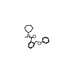 CN(C(=O)c1ccccc1COc1ccccc1)C1CCCCCC1